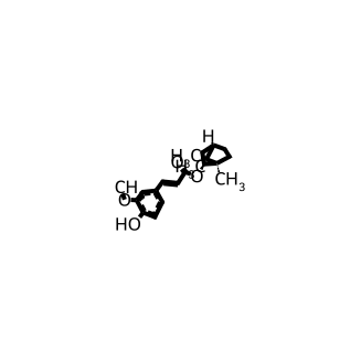 COc1cc(/C=C/C(=O)O[C@H]2C[C@H]3CC[C@]2(C)C3(C)C)ccc1O